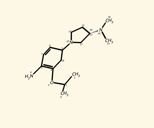 CC(C)OC1=C(N)C=CC(N2CC[C@H](N(C)C)C2)C1